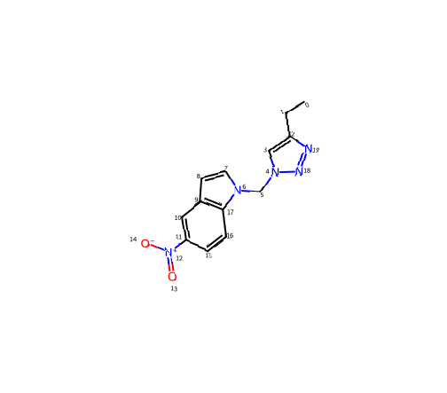 CCc1cn(Cn2ccc3cc([N+](=O)[O-])ccc32)nn1